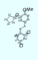 COc1ccc(CCc2ncc(Cl)cc2Cl)cc1OC1CCCC1